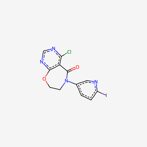 O=C1c2c(Cl)ncnc2OCCN1c1ccc(I)nc1